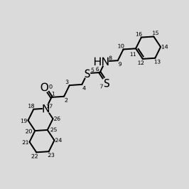 O=C(CCCSC(=S)NCCC1=CCCCC1)N1CCC2CCCCC2C1